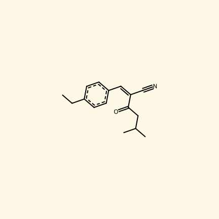 CCc1ccc(/C=C(/C#N)C(=O)CC(C)C)cc1